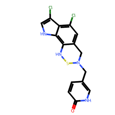 O=c1ccc(CN2Cc3cc(Cl)c4c(Cl)c[nH]c4c3NS2)c[nH]1